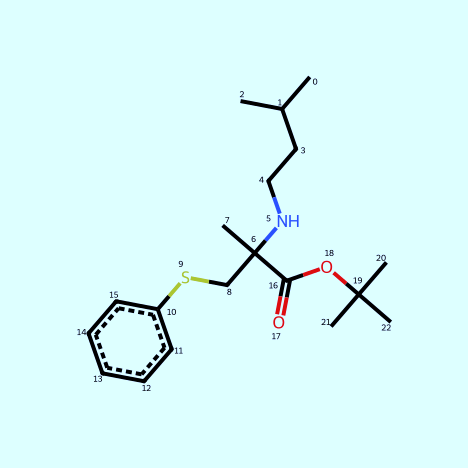 CC(C)CCNC(C)(CSc1ccccc1)C(=O)OC(C)(C)C